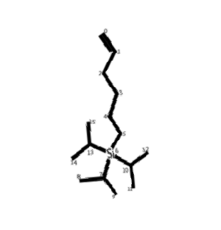 C=CCCCC[Si](C(C)C)(C(C)C)C(C)C